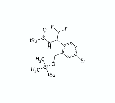 CC(C)(C)[S+]([O-])NC(c1ccc(Br)cc1CO[Si](C)(C)C(C)(C)C)C(F)F